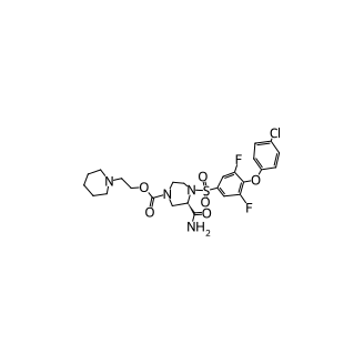 NC(=O)[C@H]1CN(C(=O)OCCN2CCCCC2)CCN1S(=O)(=O)c1cc(F)c(Oc2ccc(Cl)cc2)c(F)c1